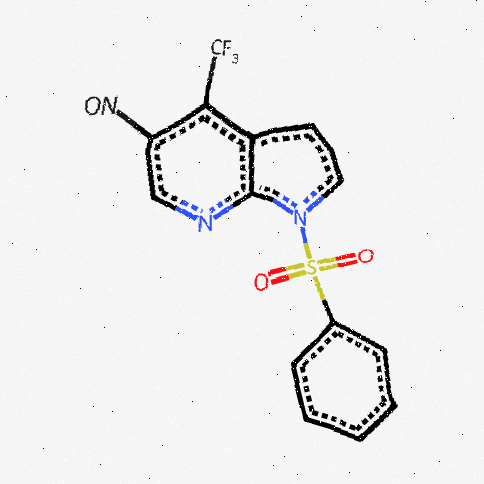 O=Nc1cnc2c(ccn2S(=O)(=O)c2ccccc2)c1C(F)(F)F